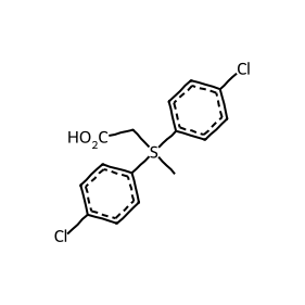 CS(CC(=O)O)(c1ccc(Cl)cc1)c1ccc(Cl)cc1